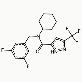 O=C(c1cc(C(F)(F)F)n[nH]1)N(Cc1cc(F)cc(F)c1)C1CCCCC1